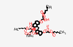 C#CCCCC(=O)OCC(O)COc1ccc2ccc(OCC(O)COC(=O)CCCC)c(Cc3c(OCC(O)COC(=O)CCCC#C)ccc4ccc(OCC(O)COC(=O)CCCC=C)cc34)c2c1